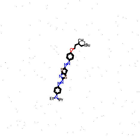 CCN(c1ccc(/N=N/c2nc3sc(/N=N/c4ccc(OCCC(C)CC(C)(C)C)cc4)cc3s2)cc1)C(C)C